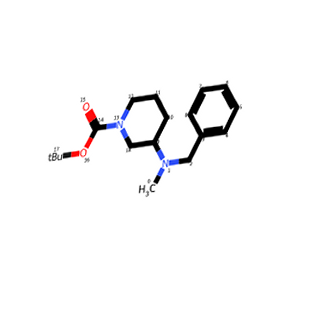 CN(Cc1ccccc1)C1CCCN(C(=O)OC(C)(C)C)C1